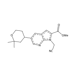 COC(=O)c1cc2cc(C3CCOC(C)(C)C3)cnc2n1CC#N